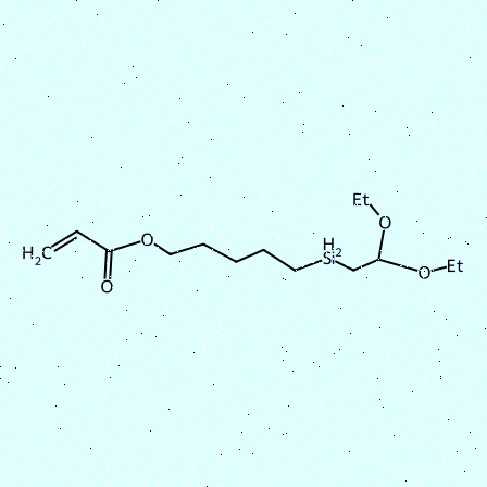 C=CC(=O)OCCCCC[SiH2]CC(OCC)OCC